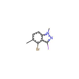 Cc1ccc2c(c(I)nn2C)c1Br